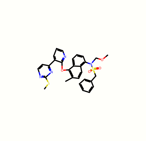 COCN(c1cccc2c(Oc3ncccc3-c3ccnc(SC)n3)c(C)ccc12)S(=O)(=O)Cc1ccccc1